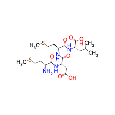 CSCC[C@H](NC(=O)[C@H](CC(=O)O)NC(=O)[C@@H](N)CCSC)C(=O)N[C@@H](CC(C)C)C(=O)O